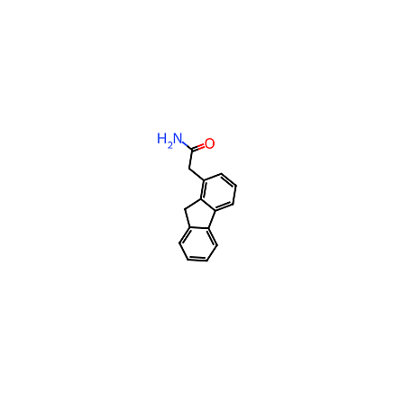 NC(=O)Cc1cccc2c1Cc1ccccc1-2